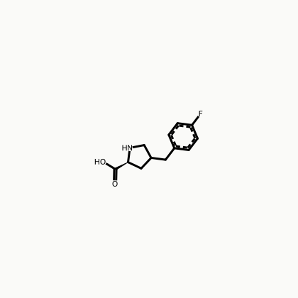 O=C(O)[C@@H]1CC(Cc2ccc(F)cc2)CN1